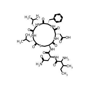 CCC(C)C(N)C(=O)N[C@@H](CC(N)=O)C(=O)N[C@H]1CSC(=O)[C@H](CC(C)C)NC(=O)[C@H](CC(C)C)NC(=O)[C@H](Cc2ccccc2)NC(=O)[C@H](CC(=O)O)NC1=O